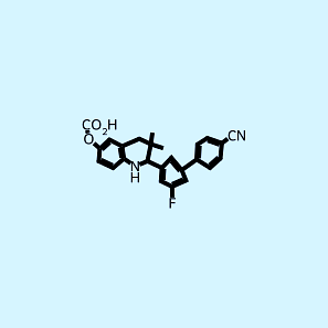 CC1(C)Cc2cc(OC(=O)O)ccc2NC1c1cc(F)cc(-c2ccc(C#N)cc2)c1